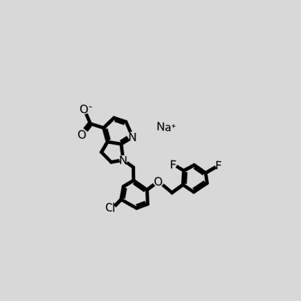 O=C([O-])c1ccnc2c1CCN2Cc1cc(Cl)ccc1OCc1ccc(F)cc1F.[Na+]